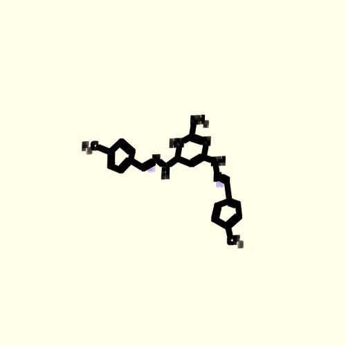 NC1=NC(N/N=C/c2ccc(C(F)(F)F)cc2)=CC(N/N=C/c2ccc(C(F)(F)F)cc2)N1